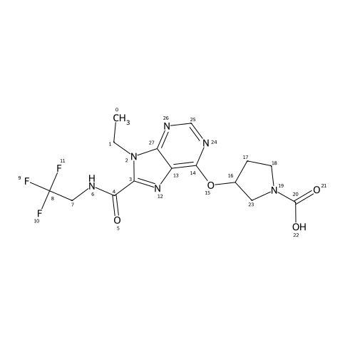 CCn1c(C(=O)NCC(F)(F)F)nc2c(OC3CCN(C(=O)O)C3)ncnc21